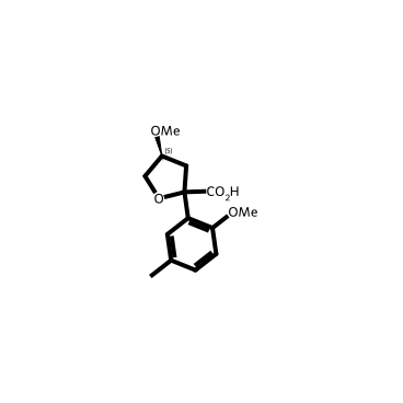 COc1ccc(C)cc1C1(C(=O)O)C[C@H](OC)CO1